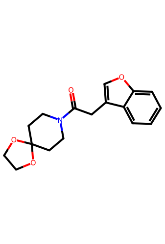 O=C(Cc1coc2ccccc12)N1CCC2(CC1)OCCO2